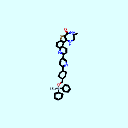 CC1CNc2c(sc3ccc4nc(-c5ccc(C6CCC(CO[Si](c7ccccc7)(c7ccccc7)C(C)(C)C)CC6)nc5)ccc4c23)C(=O)N1